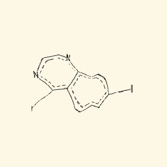 Ic1ccc2c(I)ncnc2c1